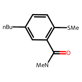 CCCCc1ccc(SC)c(C(=O)NC)c1